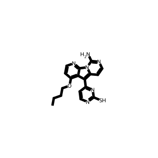 CCCCOc1ccnc2c1c(-c1ccnc(S)n1)c1ccnc(N)n12